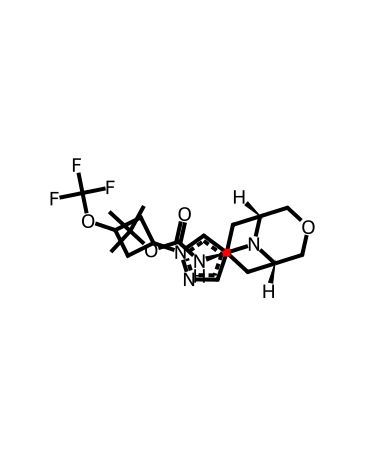 CC(C)(C)OC(=O)N[C@@H]1C[C@H]2COC[C@@H](C1)N2c1cnn(C2CC(OC(F)(F)F)C2)c1